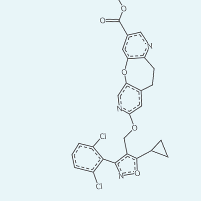 COC(=O)c1cnc2c(c1)Oc1cnc(OCc3c(-c4c(Cl)cccc4Cl)noc3C3CC3)cc1CC2